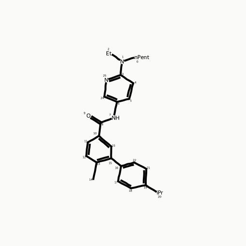 CCCCCN(CC)c1ccc(NC(=O)c2ccc(C)c(-c3ccc(C(C)C)cc3)c2)cn1